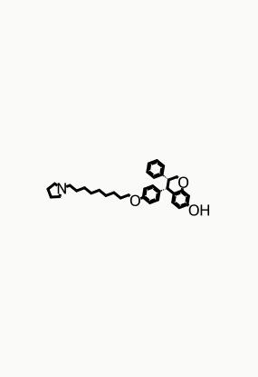 Oc1ccc2c(c1)OC[C@@H](c1ccccc1)[C@H]2c1ccc(OCCCCCCCCCN2CCCC2)cc1